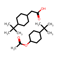 CC(=O)OC1CCC(C(C)(C)C)CC1.CC(C)(C)C1CCC(CC(=O)O)CC1